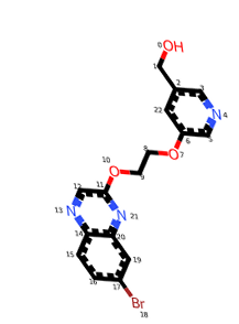 OCc1cncc(OCCOc2cnc3ccc(Br)cc3n2)c1